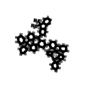 CC1(C)c2ccccc2-c2ccc(N(c3cccc(-c4ccc5c(c4)C4(c6ccccc6-5)c5ccccc5-n5c6ccccc6c6cccc4c65)c3)c3cccc4c3-c3ccccc3C4(c3ccccc3)c3ccccc3)cc21